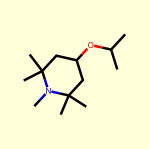 CC(C)OC1CC(C)(C)N(C)C(C)(C)C1